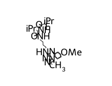 COc1ccc2c(c1)nc(NCCCCNC(=O)C(NC(=O)C(F)C(C)C)C(C)C)c1nnc(C)n12